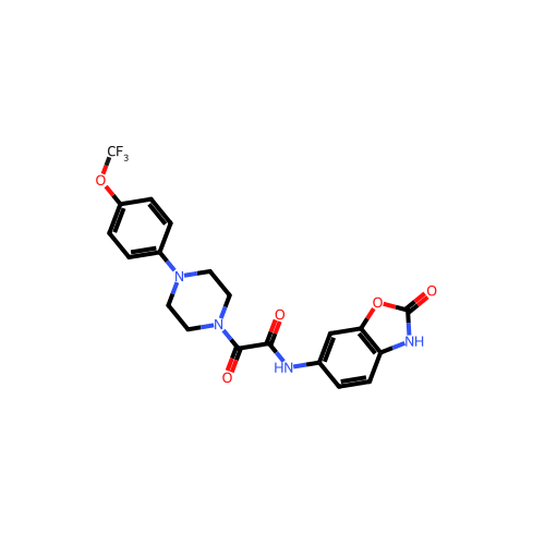 O=C(Nc1ccc2[nH]c(=O)oc2c1)C(=O)N1CCN(c2ccc(OC(F)(F)F)cc2)CC1